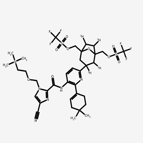 [2H]C1C([2H])C2(COS(=O)(=O)C(F)(F)F)OC1(COS(=O)(=O)C(F)(F)F)CC([2H])(c1ccc(NC(=O)c3nc(C#N)cn3COCC[Si](C)(C)C)c(C3=CCC(C)(C)CC3)n1)C2[2H]